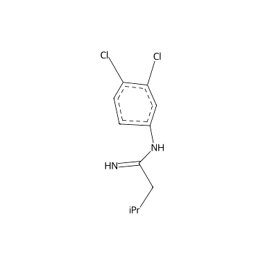 CC(C)CC(=N)Nc1ccc(Cl)c(Cl)c1